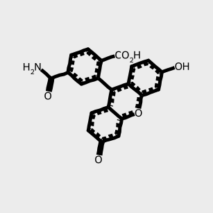 NC(=O)c1ccc(C(=O)O)c(-c2c3ccc(=O)cc-3oc3cc(O)ccc23)c1